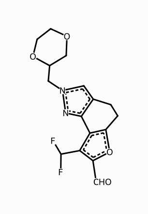 O=Cc1oc2c(c1C(F)F)-c1nn(CC3COCCO3)cc1CC2